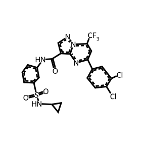 O=C(Nc1cccc(S(=O)(=O)NC2CC2)c1)c1cnn2c(C(F)(F)F)cc(-c3ccc(Cl)c(Cl)c3)nc12